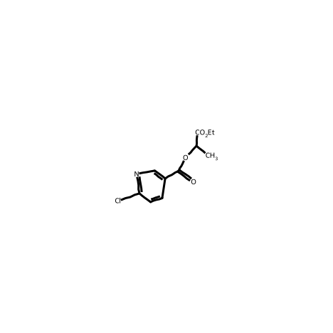 CCOC(=O)C(C)OC(=O)c1ccc(Cl)nc1